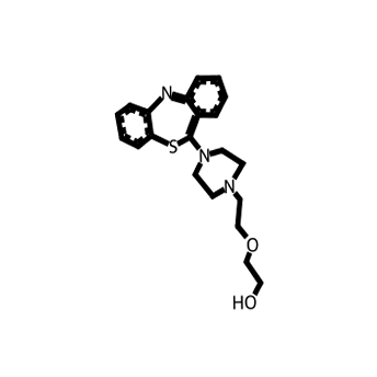 OCCOCCN1CCN(C2=c3ccccc3=Nc3ccccc3S2)CC1